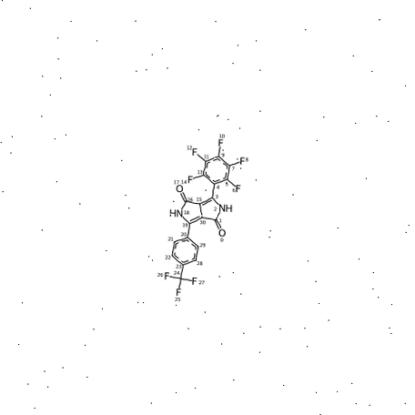 O=C1NC(c2c(F)c(F)c(F)c(F)c2F)=C2C(=O)NC(c3ccc(C(F)(F)F)cc3)=C12